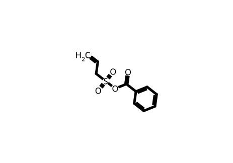 C=CCS(=O)(=O)OC(=O)c1ccccc1